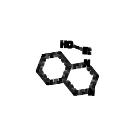 CCO.c1ccc2ncncc2c1